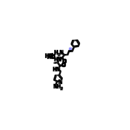 CC(NC(=O)C(N)C/C=C/c1ccccc1)C(=O)NCc1ccc(N)nc1.Cl.Cl